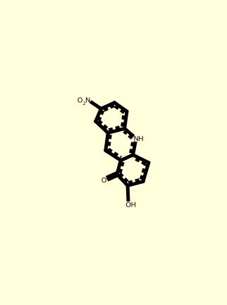 O=c1c(O)ccc2[nH]c3ccc([N+](=O)[O-])cc3cc1-2